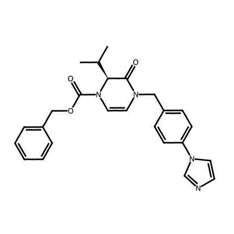 CC(C)[C@H]1C(=O)N(Cc2ccc(-n3ccnc3)cc2)C=CN1C(=O)OCc1ccccc1